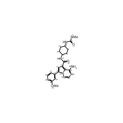 CNC(=O)NC1CCC(NC(=O)c2cc(-c3ccnc(OC)c3)n3ncnc(N)c23)CC1